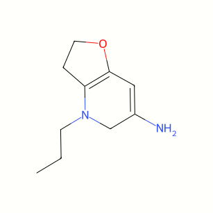 CCCN1CC(N)=CC2=C1CCO2